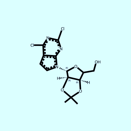 CC1(C)O[C@@H]2[C@H](O1)C(CO)O[C@H]2n1ccc2c(Cl)nc(Cl)nc21